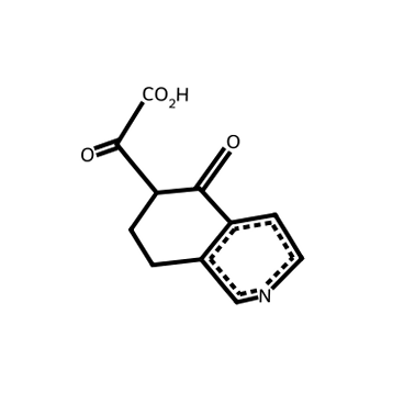 O=C(O)C(=O)C1CCc2cnccc2C1=O